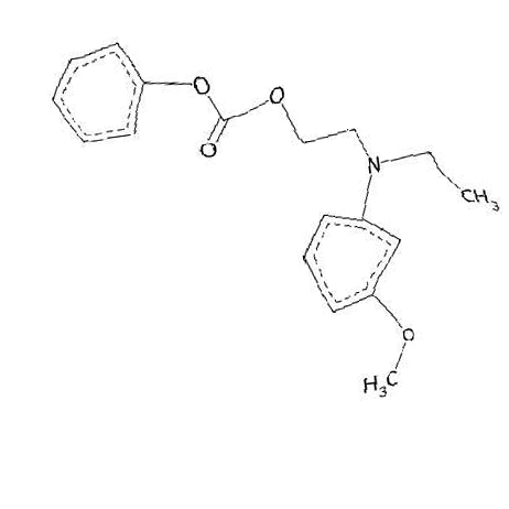 CCN(CCOC(=O)Oc1ccccc1)c1cccc(OC)c1